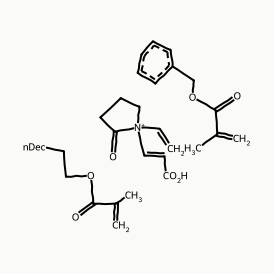 C=C(C)C(=O)OCCCCCCCCCCCC.C=C(C)C(=O)OCc1ccccc1.C=C[N+]1(C=CC(=O)O)CCCC1=O